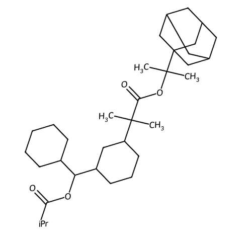 CC(C)C(=O)OC(C1CCCCC1)C1CCCC(C(C)(C)C(=O)OC(C)(C)C23CC4CC(CC(C4)C2)C3)C1